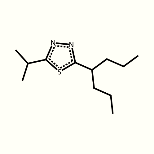 CCCC(CCC)c1nnc(C(C)C)s1